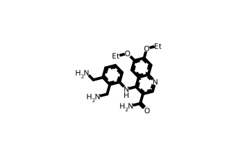 CCOc1cc2ncc(C(N)=O)c(Nc3cccc(CN)c3CN)c2cc1OCC